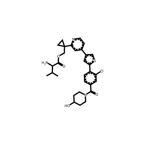 CC(C)C(N)C(=O)OCC1(c2cc(-c3csc(-c4ccc(C(=O)N5CCC(O)CC5)cc4Cl)c3)ccn2)CC1